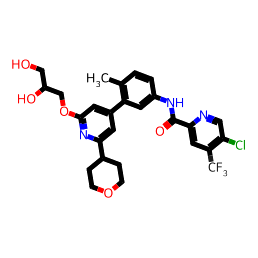 Cc1ccc(NC(=O)c2cc(C(F)(F)F)c(Cl)cn2)cc1-c1cc(OCC(O)CO)nc(C2CCOCC2)c1